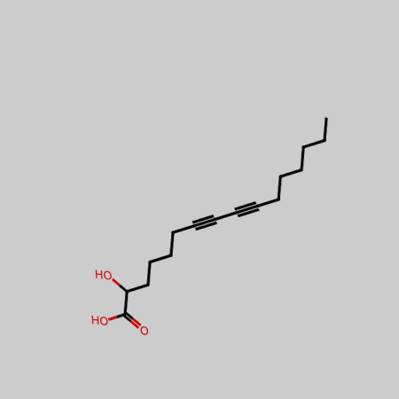 CCCCCCC#CC#CCCCCC(O)C(=O)O